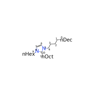 CCCCCCCCCCCCCCN1C=CN(CCCCCC)C1CCCCCCCC